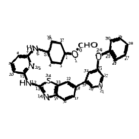 O=COC1CCC(Nc2cccc(Nc3nc4ccc(-c5cncc(Oc6ccccc6)c5)cc4s3)n2)CC1